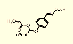 C=CC(=O)OC(CCCCC)Oc1ccc(/C=C/C(=O)O)cc1